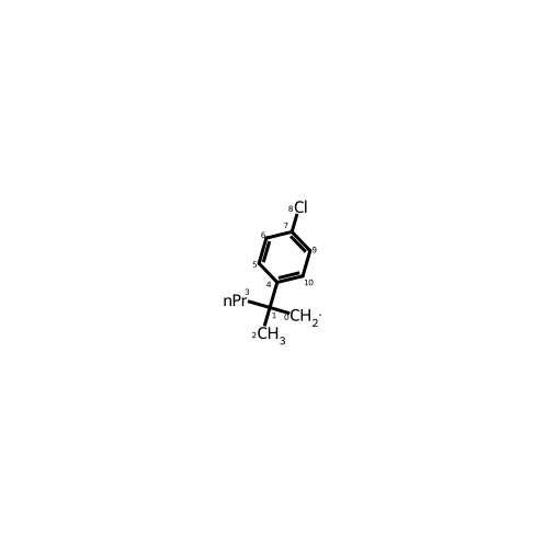 [CH2]C(C)(CCC)c1ccc(Cl)cc1